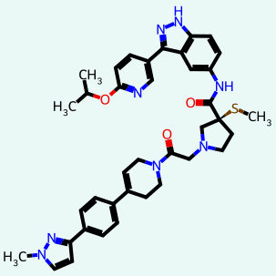 CS[C@@]1(C(=O)Nc2ccc3[nH]nc(-c4ccc(OC(C)C)nc4)c3c2)CCN(CC(=O)N2CC=C(c3ccc(-c4ccn(C)n4)cc3)CC2)C1